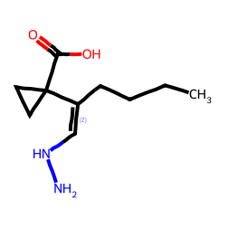 CCCC/C(=C/NN)C1(C(=O)O)CC1